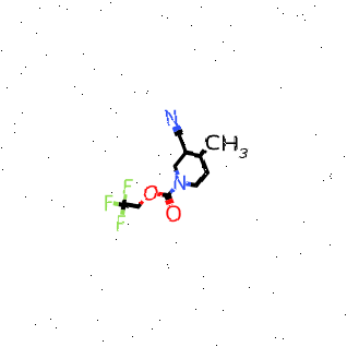 CC1CCN(C(=O)OCC(F)(F)F)CC1C#N